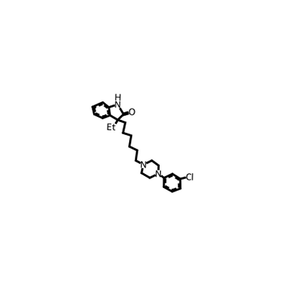 CCC1(CCCCCCN2CCN(c3cccc(Cl)c3)CC2)C(=O)Nc2ccccc21